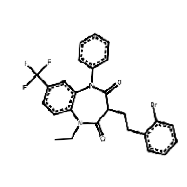 CCN1C(=O)C(CCc2ccccc2Br)C(=O)N(c2ccccc2)c2cc(C(F)(F)F)ccc21